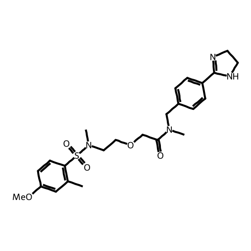 COc1ccc(S(=O)(=O)N(C)CCOCC(=O)N(C)Cc2ccc(C3=NCCN3)cc2)c(C)c1